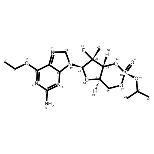 CCOC1=NC(N)=NC2C1=NCN2[C@@H]1O[C@@H]2CO[P@](=O)(OC(C)C)O[C@H]2[C@@]1(C)F